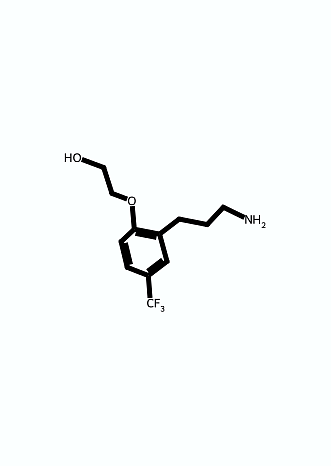 NCCCc1cc(C(F)(F)F)ccc1OCCO